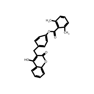 Cc1cccc(C)c1C(=O)Oc1ccc(Cc2c(O)c3ccccc3oc2=O)cc1